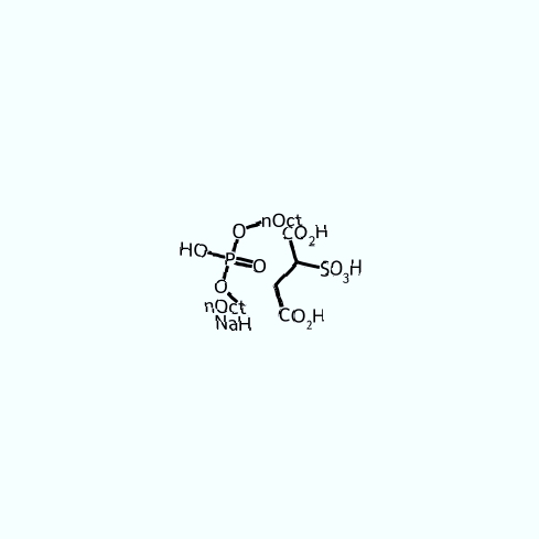 CCCCCCCCOP(=O)(O)OCCCCCCCC.O=C(O)CC(C(=O)O)S(=O)(=O)O.[NaH]